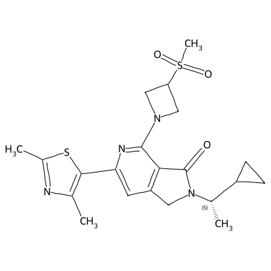 Cc1nc(C)c(-c2cc3c(c(N4CC(S(C)(=O)=O)C4)n2)C(=O)N([C@@H](C)C2CC2)C3)s1